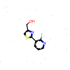 OCc1csc(-c2cccnc2F)n1